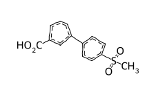 CS(=O)(=O)c1ccc(-c2cccc(C(=O)O)c2)cc1